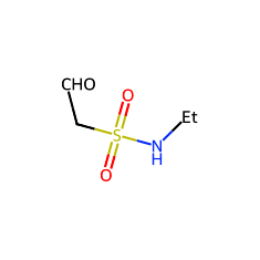 [CH2]CNS(=O)(=O)CC=O